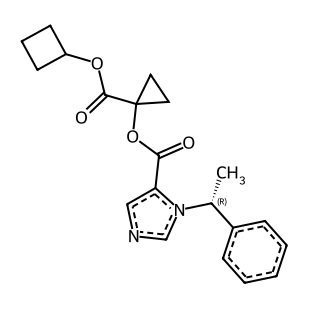 C[C@H](c1ccccc1)n1cncc1C(=O)OC1(C(=O)OC2CCC2)CC1